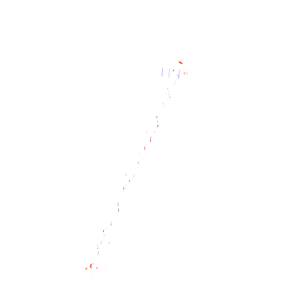 CS(=O)(=O)NCCCCOCCOCCOCCOCCOCCOCCOCCOS(C)(=O)=O